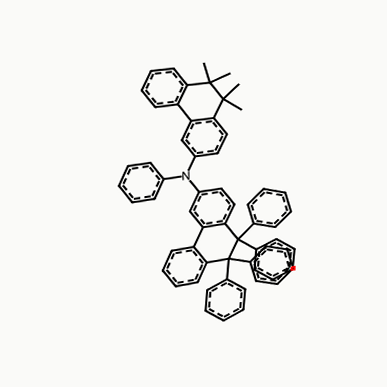 CC1(C)c2ccccc2-c2cc(N(c3ccccc3)c3ccc4c(c3)-c3ccccc3C(c3ccccc3)(c3ccccc3)C4(c3ccccc3)c3ccccc3)ccc2C1(C)C